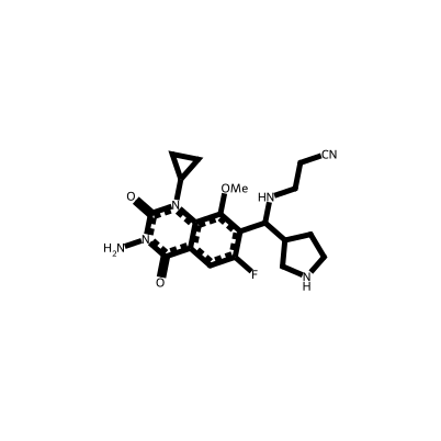 COc1c(C(NCCC#N)C2CCNC2)c(F)cc2c(=O)n(N)c(=O)n(C3CC3)c12